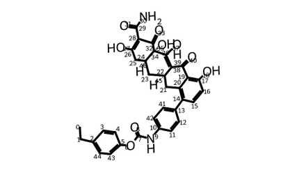 CCc1ccc(OC(=O)Nc2ccc(-c3ccc(O)c4c3C[C@H]3C[C@H]5CC(O)=C(C(N)=O)C(=O)[C@@]5(O)C(O)=C3C4=O)cc2)cc1